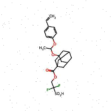 C=Cc1ccc(OC(C)OC23CC4CC(C2)CC(C(=O)OCC(F)(F)S(=O)(=O)O)(C4)C3)cc1